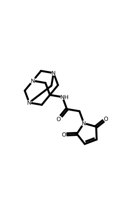 O=C(CN1C(=O)C=CC1=O)NC12CN3CN(CN(C3)C1)C2